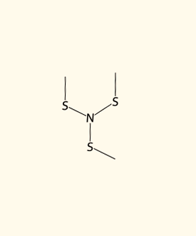 CSN(SC)SC